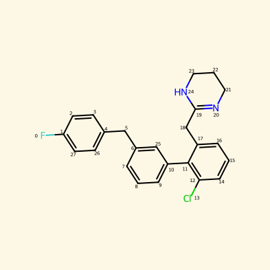 Fc1ccc(Cc2cccc(-c3c(Cl)cccc3CC3=NCCCN3)c2)cc1